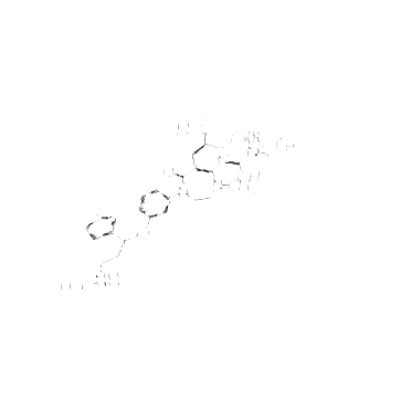 CCN/C(C)=N/C1=C(/C=C(/C)CC)C(=O)N(c2cccc(OC(CCNC)c3ccsc3)c2)CCN1C